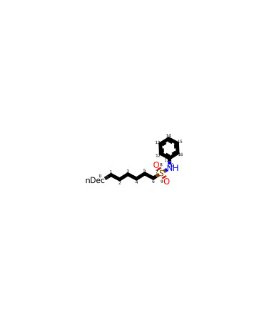 CCCCCCCCCCCCCCCCS(=O)(=O)Nc1cc[c]cc1